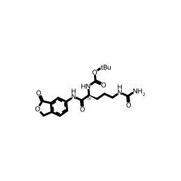 CC(C)(C)OC(=O)N[C@@H](CCCNC(N)=O)C(=O)Nc1ccc2c(c1)C(=O)OC2